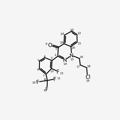 O=c1c(-c2cccc(C(F)(F)F)c2F)nn(CCCCl)c2ccccc12